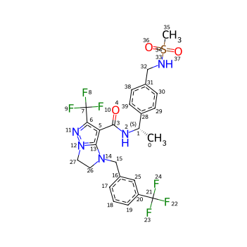 C[C@H](NC(=O)c1c(C(F)(F)F)nn2c1N(Cc1cccc(C(F)(F)F)c1)CC2)c1ccc(CNS(C)(=O)=O)cc1